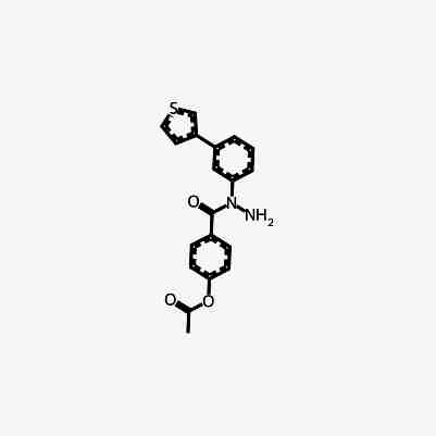 CC(=O)Oc1ccc(C(=O)N(N)c2cccc(-c3ccsc3)c2)cc1